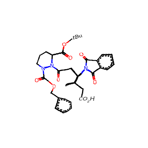 CC(CC(=O)O)C(CC(=O)N1C(C(=O)OC(C)(C)C)CCCN1C(=O)OCc1ccccc1)N1C(=O)c2ccccc2C1=O